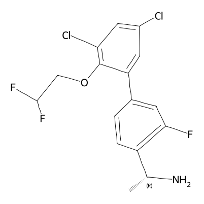 C[C@@H](N)c1ccc(-c2cc(Cl)cc(Cl)c2OCC(F)F)cc1F